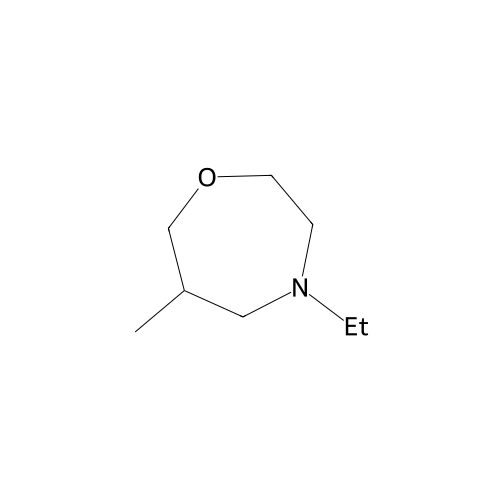 [CH2]CN1CCOCC(C)C1